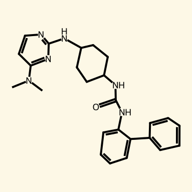 CN(C)c1ccnc(NC2CCC(NC(=O)Nc3ccccc3-c3ccccc3)CC2)n1